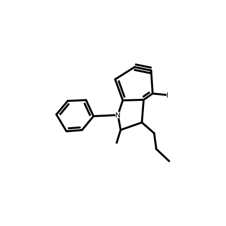 CCCC1c2c(I)c#ccc2N(c2ccccc2)C1C